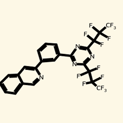 FC(F)(F)C(F)(F)C(F)(F)c1nc(-c2cccc(-c3cc4ccccc4cn3)c2)nc(C(F)(F)C(F)(F)C(F)(F)F)n1